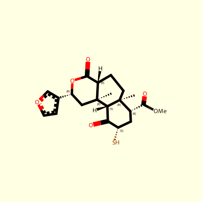 COC(=O)[C@@H]1C[C@H](S)C(=O)[C@H]2[C@@]1(C)CC[C@H]1C(=O)O[C@@H](c3ccoc3)C[C@]21C